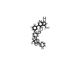 CCc1c[nH]c2ncc(-c3cccc(N4CCN(C(OC(=O)N5CCCCC5)C(C)(C)C)CC4=O)c3)c(Cl)c12